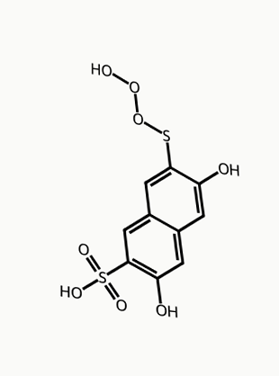 O=S(=O)(O)c1cc2cc(SOOO)c(O)cc2cc1O